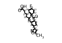 Cc1cc(-c2ccc3c(=O)n(-c4ccc(F)cc4)c(CCCCC(=O)O)nc3c2)no1